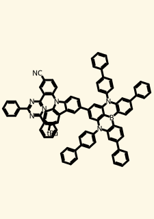 CC(C)(C)c1ccc2c(c1)c1cc(-c3cc4c5c(c3)N(c3ccc(-c6ccccc6)cc3)c3cc(-c6ccccc6)ccc3B5c3ccc(-c5ccccc5)cc3N4c3ccc(-c4ccccc4)cc3)ccc1n2-c1ccc(C#N)cc1-c1nc(-c2ccccc2)nc(-c2ccccc2)n1